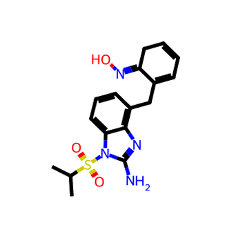 CC(C)S(=O)(=O)n1c(N)nc2c(CC3=CC=CCC3=NO)cccc21